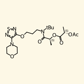 CC(=O)O[C@@H](C)C(=O)O[C@@H](C)C(=O)N(CCCOc1nsnc1N1CCOCC1)C(C)(C)C